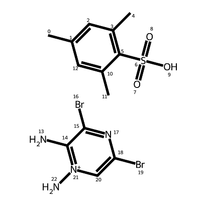 Cc1cc(C)c(S(=O)(=O)O)c(C)c1.Nc1c(Br)nc(Br)c[n+]1N